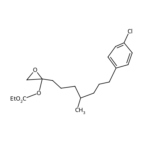 CCOC(=O)OC1(CCCC(C)CCCc2ccc(Cl)cc2)CO1